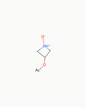 CC(=O)OC1C[NH+]([O-])C1